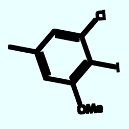 COc1cc(C)cc(Cl)c1I